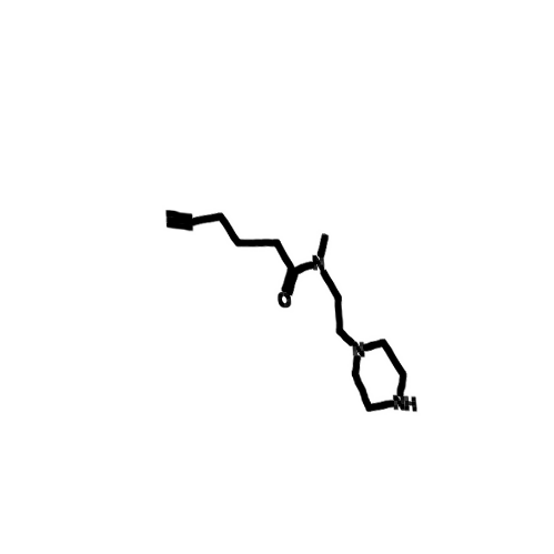 C#CCCCC(=O)N(C)CCN1CCNCC1